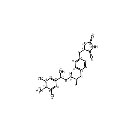 CC(Cc1ccc(CC2SC(=O)NC2=O)cc1)NCC(O)c1cc(Cl)c(N)c(Cl)c1